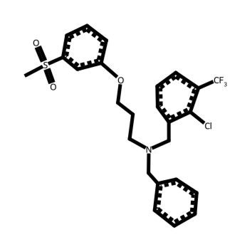 CS(=O)(=O)c1cccc(OCCCN(Cc2ccccc2)Cc2cccc(C(F)(F)F)c2Cl)c1